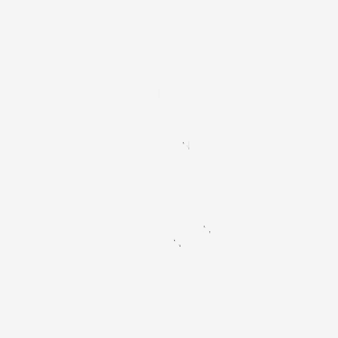 Brc1ccc2cnncc2n1